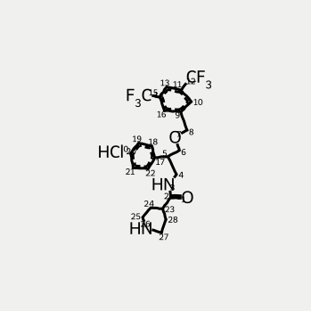 Cl.O=C(NCC(COCc1cc(C(F)(F)F)cc(C(F)(F)F)c1)c1ccccc1)C1CCNCC1